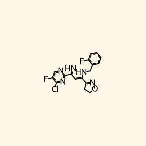 N=C(/C=C(\NCc1ccccc1F)C1=NOCC1)c1ncc(F)c(Cl)n1